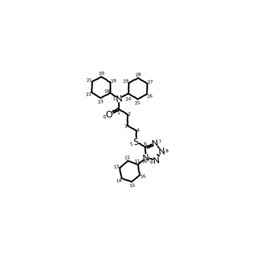 O=C(CCCSc1nnnn1C1CCCCC1)N(C1CCCCC1)C1CCCCC1